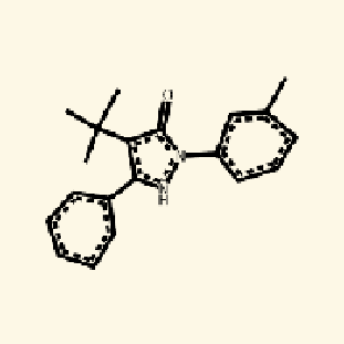 Cc1cccc(-n2[nH]c(-c3ccccc3)c(C(C)(C)C)c2=O)c1